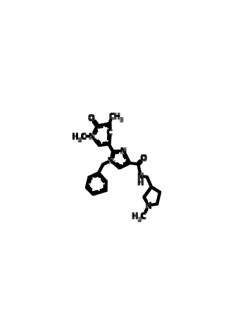 Cc1cc(-c2nc(C(=O)NCC3CCN(C)C3)cn2Cc2ccccc2)cn(C)c1=O